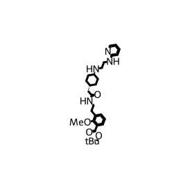 COc1c(CCNC(=O)C[C@H]2CC[C@H](NCCNc3ccccn3)CC2)cccc1C(=O)OC(C)(C)C